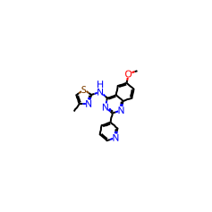 COc1ccc2nc(-c3cccnc3)nc(Nc3nc(C)cs3)c2c1